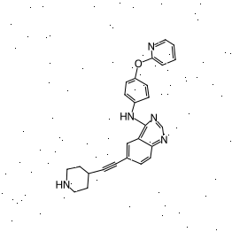 C(#CC1CCNCC1)c1ccc2ncnc(Nc3ccc(Oc4ccccn4)cc3)c2c1